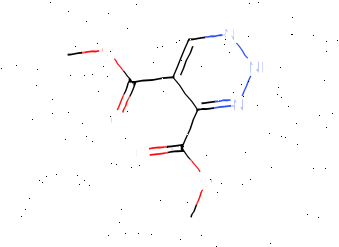 COC(=O)C1=C[N]NN=C1C(=O)OC